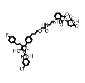 O=C(COCCCc1ccc(-c2nn(-c3nc4cc(Cl)ccc4[nH]3)c(O)c2CCc2ccc(F)cc2)cc1)NCCNc1cccc2c1C(=O)N(C1CCC(=O)NC1=O)C2=O